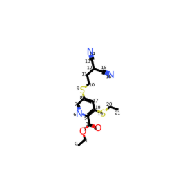 CCOC(=O)c1ncc(SCCC(C#N)C#N)cc1SCC